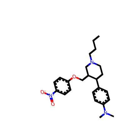 CCCCN1CCC(c2ccc(N(C)C)cc2)C(COc2ccc([N+](=O)[O-])cc2)C1